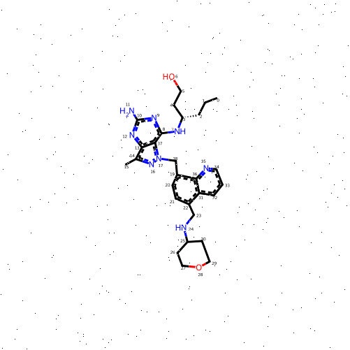 CCC[C@@H](CCO)Nc1nc(N)nc2c(C)nn(Cc3ccc(CNC4CCOCC4)c4cccnc34)c12